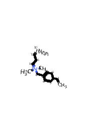 C=Cc1ccc(C[N+](C)(C)CCCCCCCCCCCC)cc1